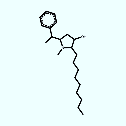 CCCCCCCCCC1C(O)CC(C(C)c2ccccc2)N1C